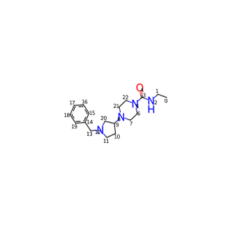 CCNC(=O)N1CCN(C2CCN(Cc3ccccc3)C2)CC1